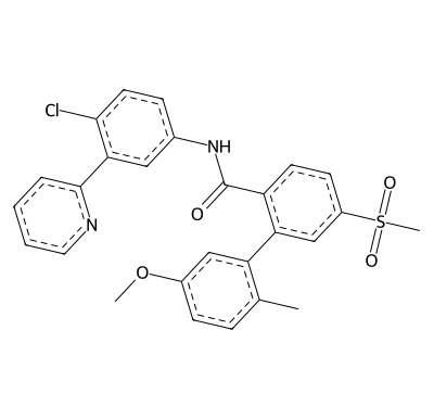 COc1ccc(C)c(-c2cc(S(C)(=O)=O)ccc2C(=O)Nc2ccc(Cl)c(-c3ccccn3)c2)c1